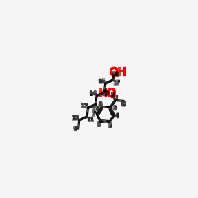 CC(O)c1ccccc1.CCCCCCCCCO